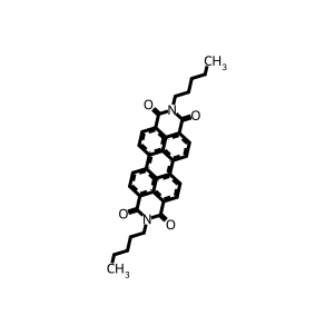 CCCCCN1C(=O)c2ccc3c4ccc5c6c(ccc(c7ccc(c2c37)C1=O)c64)C(=O)N(CCCCC)C5=O